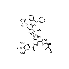 CC(=O)Oc1cc(C(=O)O/N=C(\C(=O)N[C@@H]2C(=O)N3C(C(=O)OC(c4ccccc4)c4ccccc4)=C(CSc4nnnn4C)CS[C@H]23)c2coc(NC(=O)CCl)n2)cc(OC(C)=O)c1OC(C)=O